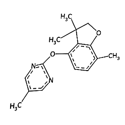 Cc1cnc(Oc2ccc(C)c3c2C(C)(C)CO3)nc1